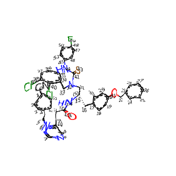 N#Cc1ccc(Cn2cncc2CC(=O)N[C@@H](Cc2ccc(OCc3ccccc3)cc2)CN(Cc2cccc(Cl)c2Cl)C(=S)Nc2ccc(F)cc2)cc1